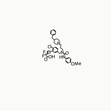 COc1ccc(NC(=O)N(CCCN2CCC(Cc3ccccc3)CC2)Cc2ccc(Cl)c(Cl)c2)cc1.O=C(O)C(F)(F)F